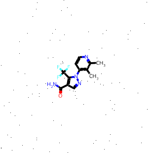 Cc1nccc(-n2ncc(C(N)=O)c2C(F)(F)F)c1C